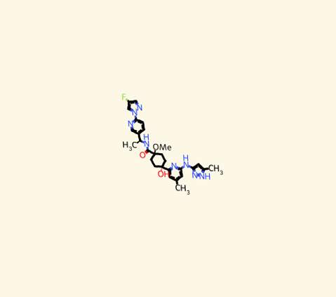 CO[C@]1(C(=O)N[C@@H](C)c2ccc(-n3cc(F)cn3)nc2)CC[C@](O)(c2cc(C)cc(Nc3cc(C)[nH]n3)n2)CC1